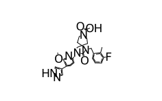 COc1nc(N2CC3(CCN(C(=O)O)CC3)N(Cc3cccc(F)c3C)C2=O)ccc1-c1cn[nH]c1